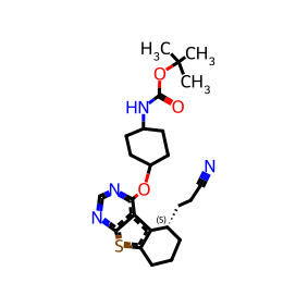 CC(C)(C)OC(=O)NC1CCC(Oc2ncnc3sc4c(c23)[C@H](CCC#N)CCC4)CC1